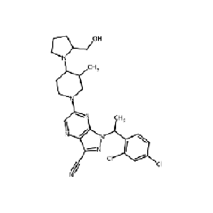 CC1CN(c2cnc3c(C#N)nn(C(C)c4ccc(Cl)cc4Cl)c3n2)CCC1N1CCCC1CO